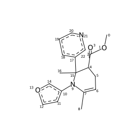 COC(=O)C1CC=C(C)N(c2ccoc2)C1(C)c1cccnc1